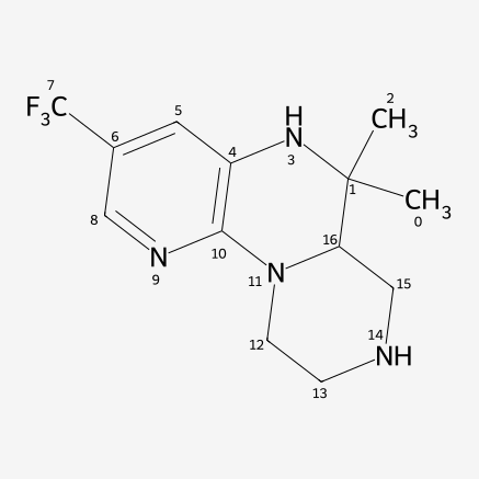 CC1(C)Nc2cc(C(F)(F)F)cnc2N2CCNCC21